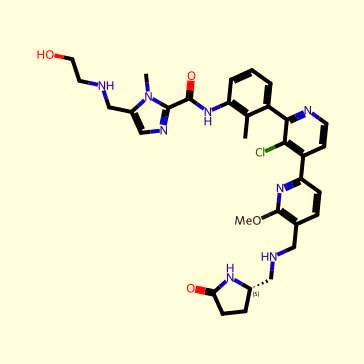 COc1nc(-c2ccnc(-c3cccc(NC(=O)c4ncc(CNCCO)n4C)c3C)c2Cl)ccc1CNC[C@@H]1CCC(=O)N1